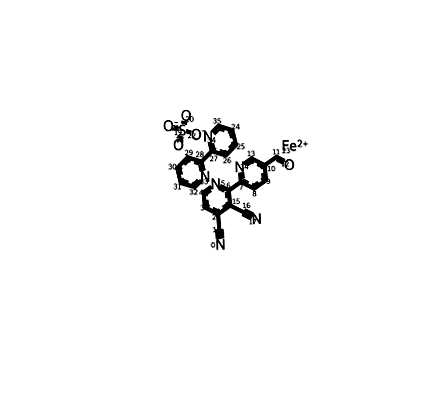 N#Cc1ccnc(-c2ccc(C=O)cn2)c1C#N.O=S(=O)([O-])[O-].[Fe+2].c1ccc(-c2ccccn2)nc1